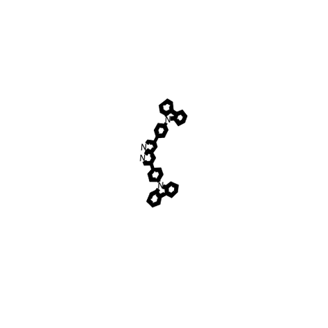 c1ccc2c(c1)c1ccccc1n2-c1ccc(-c2cnc3ncc(-c4ccc(-n5c6ccccc6c6ccccc65)cc4)cc3c2)cc1